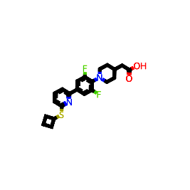 O=C(O)CC1CCN(c2c(F)cc(-c3cccc(SC4CCC4)n3)cc2F)CC1